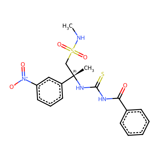 CNS(=O)(=O)C[C@](C)(NC(=S)NC(=O)c1ccccc1)c1cccc([N+](=O)[O-])c1